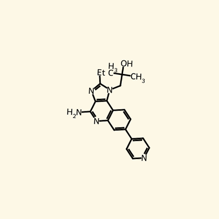 CCc1nc2c(N)nc3cc(-c4ccncc4)ccc3c2n1CC(C)(C)O